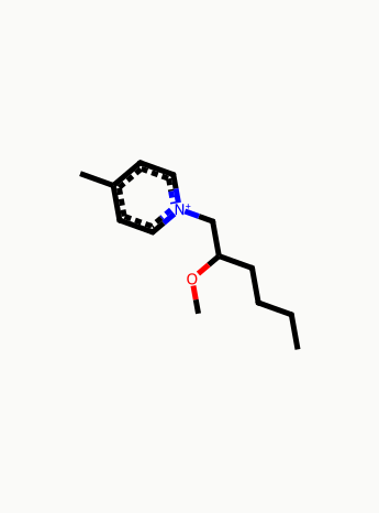 CCCCC(C[n+]1ccc(C)cc1)OC